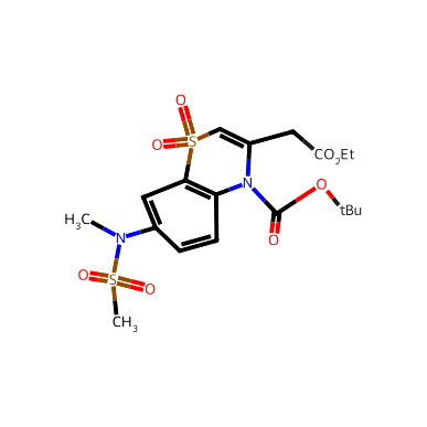 CCOC(=O)CC1=CS(=O)(=O)c2cc(N(C)S(C)(=O)=O)ccc2N1C(=O)OC(C)(C)C